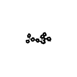 c1ccc(-c2c3c4ccccc4ccc3n3c(-c4ccc(-c5ccc(N(c6ccccc6)c6ccccc6)cc5)cc4)cccc23)cc1